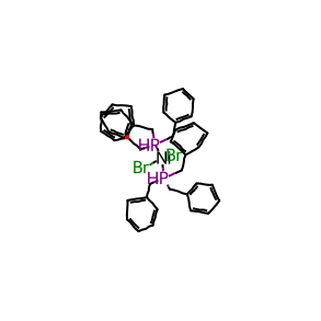 [Br][Ni]([Br])([PH](Cc1ccccc1)(Cc1ccccc1)Cc1ccccc1)[PH](Cc1ccccc1)(Cc1ccccc1)Cc1ccccc1